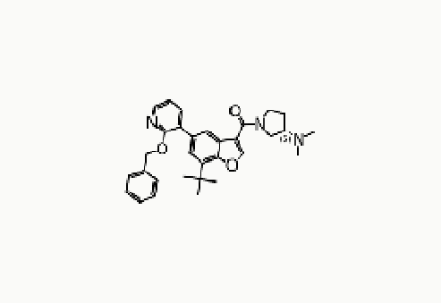 CN(C)[C@H]1CCN(C(=O)c2coc3c(C(C)(C)C)cc(-c4cccnc4OCc4ccccc4)cc23)C1